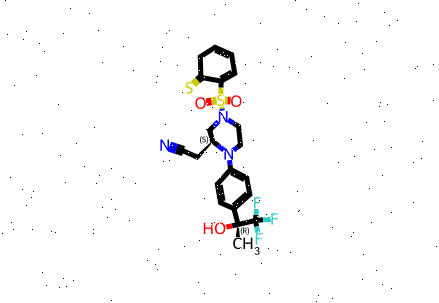 C[C@@](O)(c1ccc(N2CCN(S(=O)(=O)C3=CC=CCC3=S)C[C@@H]2CC#N)cc1)C(F)(F)F